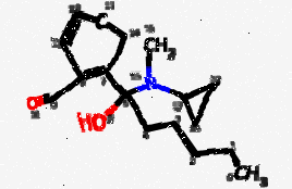 CCCCCC(O)(C1=C(C=O)C=CCC1)N(C)C1CC1